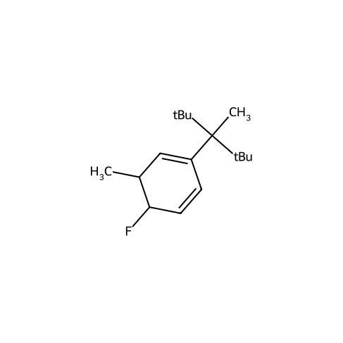 CC1C=C(C(C)(C(C)(C)C)C(C)(C)C)C=CC1F